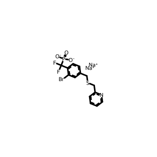 O=P([O-])([O-])C(F)(F)c1ccc(CSCc2ccccn2)cc1Br.[Na+].[Na+]